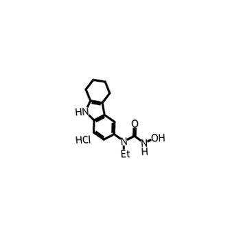 CCN(C(=O)NO)c1ccc2[nH]c3c(c2c1)CCCC3.Cl